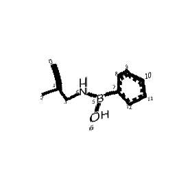 C=C(C)CNB(O)c1ccccc1